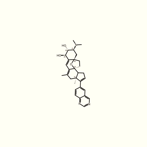 CC1=C2C=C3[C@@H](O)[C@H](O)[C@@H](N(C)C)C[C@]34CC[C@]2(O4)C2CC=C(c3ccc4ncncc4c3)[C@@]2(C)C1